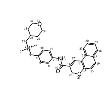 C[N+](C)(Cc1ccc(NC(=O)C2=Cc3c(ccc4ccccc34)OC2)cc1)CC1CCOCC1